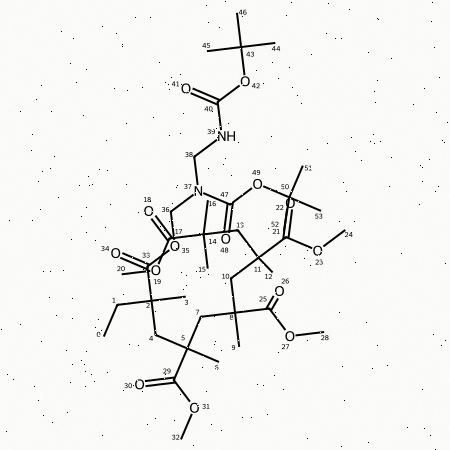 CCC(C)(CC(C)(CC(C)(CC(C)(CC(C)(C)C(=O)OC)C(=O)OC)C(=O)OC)C(=O)OC)C(=O)OCN(CNC(=O)OC(C)(C)C)C(=O)OC(C)(C)C